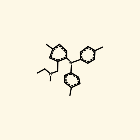 CCN(C)Cc1cc(C)cc[c]1[Bi]([c]1ccc(C)cc1)[c]1ccc(C)cc1